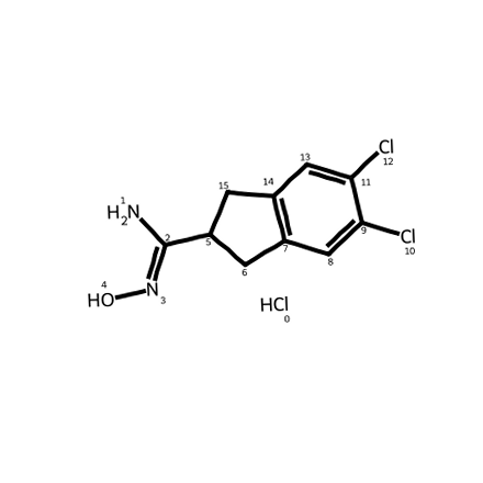 Cl.N/C(=N\O)C1Cc2cc(Cl)c(Cl)cc2C1